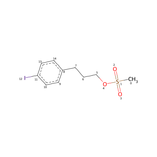 CS(=O)(=O)OCCCc1ccc(I)cc1